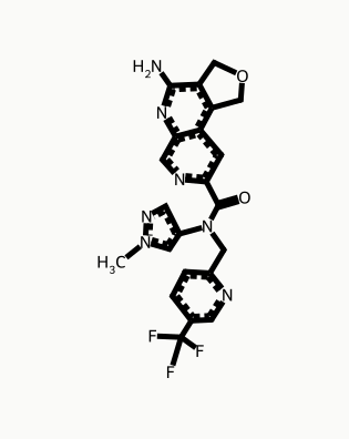 Cn1cc(N(Cc2ccc(C(F)(F)F)cn2)C(=O)c2cc3c4c(c(N)nc3cn2)COC4)cn1